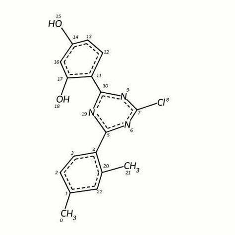 Cc1ccc(-c2nc(Cl)nc(-c3ccc(O)cc3O)n2)c(C)c1